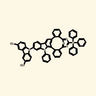 CC(C)(C)c1ccc2c(c1)c1cc(C(C)(C)C)ccc1n2-c1ccc2c3cc4cc(c5ccccc5c5nc([Si](c6ccccc6)(c6ccccc6)c6ccccc6)nc(n5)c5ccccc45)c3n(-c3ccccc3)c2c1